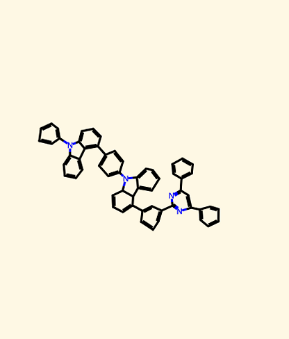 C1=CC2C(C(c3cccc(-c4nc(-c5ccccc5)cc(-c5ccccc5)n4)c3)=C1)c1ccccc1N2c1ccc(-c2cccc3c2c2ccccc2n3-c2ccccc2)cc1